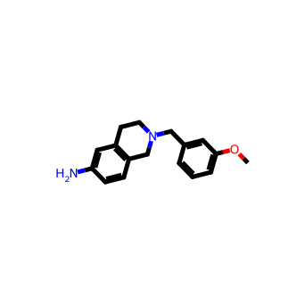 COc1cccc(CN2CCc3cc(N)ccc3C2)c1